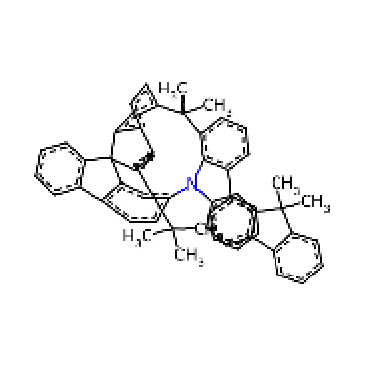 CC(C)(C)c1ccc2c(c1)C13c4ccccc4-c4ccc(cc41)N(c1ccc4c(c1)C(C)(C)c1ccccc1-4)c1c(-c4ccccc4)cccc1C(C)(C)c1ccc-2c3c1